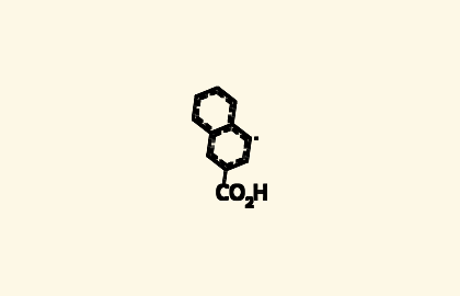 O=C(O)c1c[c]c2ccccc2c1